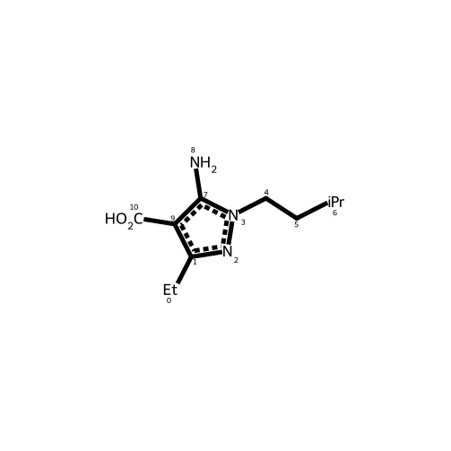 CCc1nn(CCC(C)C)c(N)c1C(=O)O